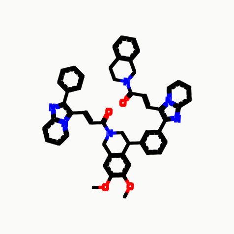 COc1cc2c(cc1OC)C(c1cccc(-c3nc4ccccn4c3/C=C/C(=O)N3CCc4ccccc4C3)c1)CN(C(=O)/C=C/c1c(-c3ccccc3)nc3ccccn13)C2